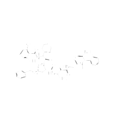 CCCCC(NC(=O)[C@@H]1C[C@@H](OCc2ccccc2)CN1C(=O)C(NC(=O)c1c(C)cccc1C)C1CCCCC1)C(=O)C(=O)NCC(=O)NC(C(N)=O)c1ccccc1